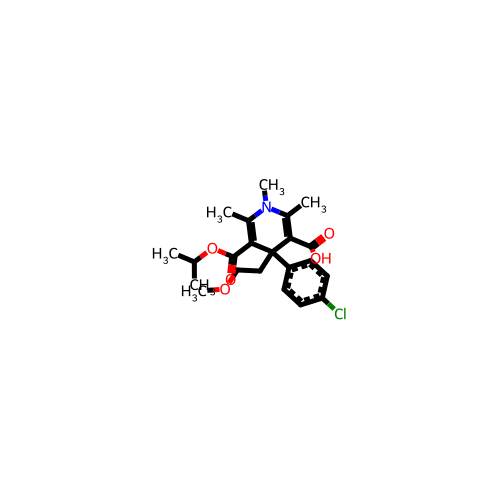 COCCC1(c2ccc(Cl)cc2)C(C(=O)O)=C(C)N(C)C(C)=C1C(=O)OC(C)C